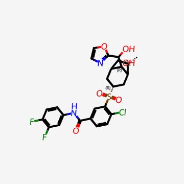 C[C@H]1CC2C[C@@H](S(=O)(=O)c3cc(C(=O)Nc4ccc(F)c(F)c4)ccc3Cl)CC1[C@@]2(O)C(O)c1ncco1